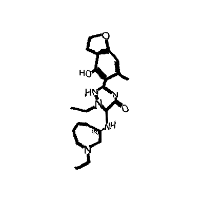 CCN1CCC[C@@H](NC2C(=O)N=C(c3c(C)cc4c(c3O)CCO4)NN2CC)C1